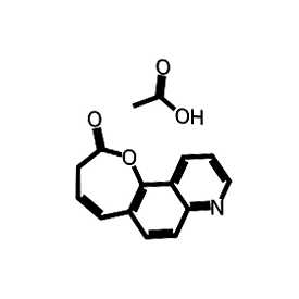 CC(=O)O.O=C1CC=Cc2ccc3ncccc3c2O1